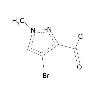 Cn1cc(Br)c(C(=O)Cl)n1